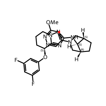 COc1cc(N2C[C@H]3CC[C@@H](C2)[C@@H]3Nc2nc3n(n2)CCC[C@@H]3Oc2cc(F)cc(F)c2)cnn1